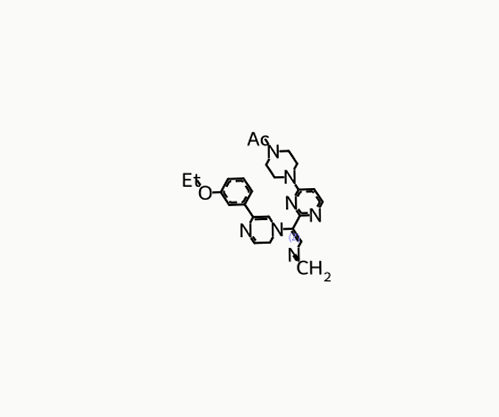 C=N/C=C(/c1nccc(N2CCN(C(C)=O)CC2)n1)N1C=C(c2cccc(OCC)c2)N=CC1